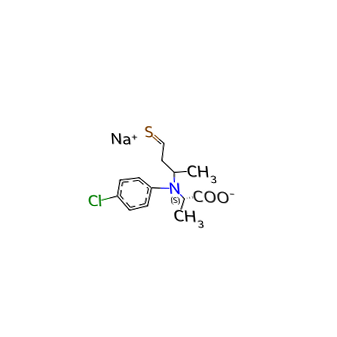 CC(CC=S)N(c1ccc(Cl)cc1)[C@@H](C)C(=O)[O-].[Na+]